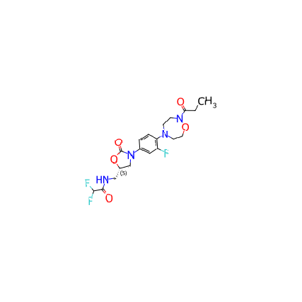 CCC(=O)N1CCN(c2ccc(N3C[C@H](CNC(=O)C(F)F)OC3=O)cc2F)CCO1